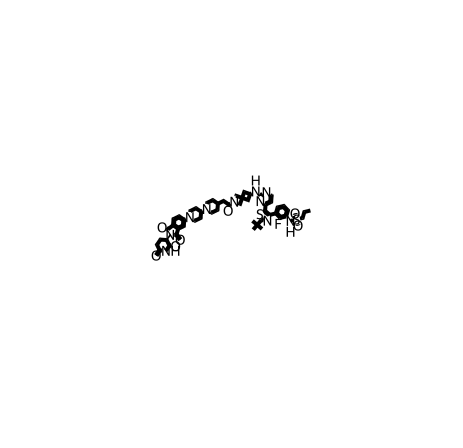 CCCS(=O)(=O)Nc1cccc(-c2nc(C(C)(C)C)sc2-c2ccnc(NC3CC4(C3)CN(C(=O)CC3CCN(C5CCN(c6ccc7c(c6)C(=O)N([C@@H]6CCC(=O)NC6=O)C7=O)CC5)CC3)C4)n2)c1F